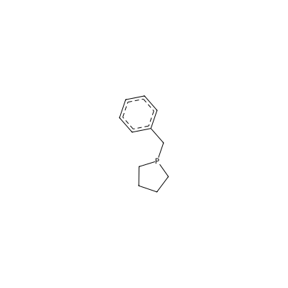 c1ccc(CP2CCCC2)cc1